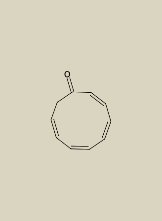 O=C1C=CC=CC=CC=CC1